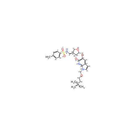 Cc1ccc(S(=O)(=O)NC[C@H]2COC[C@@H]2Oc2nc3c(ccn3COCC[Si](C)(C)C)cc2Br)cc1